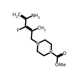 C=C(N)/C(F)=C(\C)CN1CCN(C(=O)OC)CC1